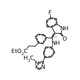 CCOC(=O)CCc1cccc(/C(Nc2ccc(-c3nccn3C)cc2)=C2/C(=O)Nc3cc(F)ccc32)c1